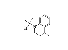 CCC(C)(C)N1CCC(C)c2ccccc21